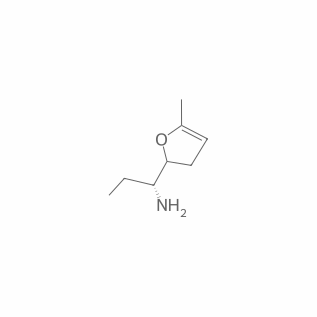 CC[C@@H](N)C1CC=C(C)O1